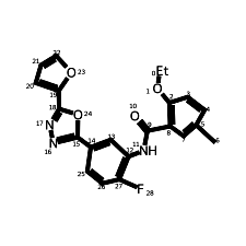 CCOc1ccc(C)cc1C(=O)Nc1cc(-c2nnc(-c3ccco3)o2)ccc1F